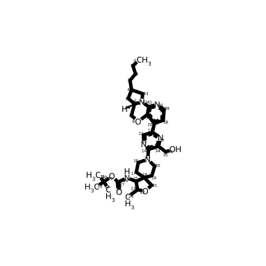 CCCCC1C[C@H]2COc3c(-c4cnc(N5CCC6(CC5)COC(C)C6NC(=O)OC(C)(C)C)c(CO)n4)ccnc3N2C1